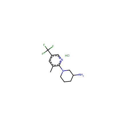 Cc1cc(C(F)(F)F)cnc1N1CCCC(N)C1.Cl